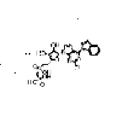 O=P(O)(O)CP(=O)(O)CC[C@H]1O[C@@H](n2cnc3c(-n4ccc5ccccc54)nc(Cl)nc32)C(O)[C@H]1O